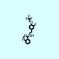 Fc1cc(CCNc2ncnc3ccccc23)ccc1OCC(F)(F)F